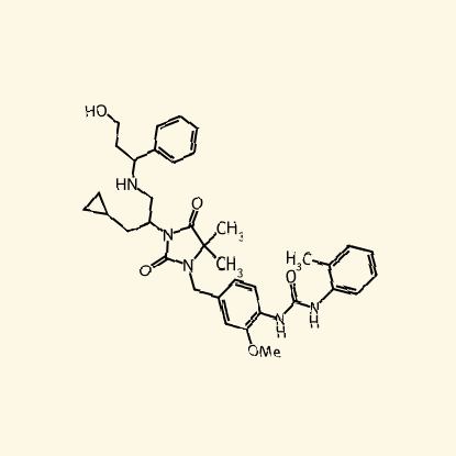 COc1cc(CN2C(=O)N(C(CNC(CCO)c3ccccc3)CC3CC3)C(=O)C2(C)C)ccc1NC(=O)Nc1ccccc1C